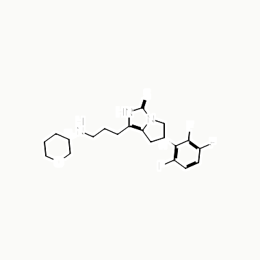 Fc1ccc(F)c([C@H]2Cc3c(CCCN[C@H]4CCCOC4)[nH]c(=S)n3C2)c1F